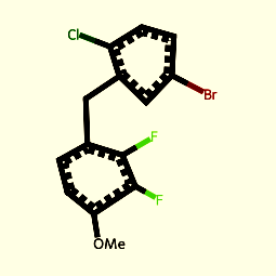 COc1ccc(Cc2cc(Br)ccc2Cl)c(F)c1F